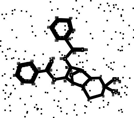 CC1(C)CCC2C(C1)C1OC2C(OC(=O)c2ccccc2)C1OC(=O)c1ccccc1